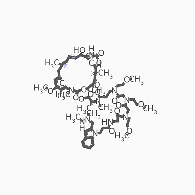 CNN(C)Cc1cc2ccccc2n1CCC(=O)NCC(=O)N(CCOC)CC(=O)N(CCOC)CC(=O)N(CCOC)CCC(=O)N(C)[C@@H](C)C(=O)O[C@H]1CC(=O)N(C)c2cc(cc(OC)c2Cl)C/C(C)=C/C=C/[C@@H](O)[C@@]2(O)C[C@H](OC(=O)N2)[C@@H](C)C2O[C@]21C